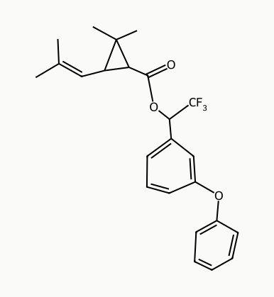 CC(C)=CC1C(C(=O)OC(c2cccc(Oc3ccccc3)c2)C(F)(F)F)C1(C)C